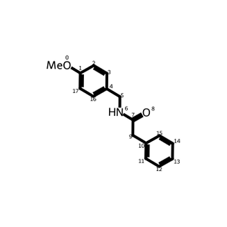 COc1ccc(CNC(=O)Cc2ccccc2)cc1